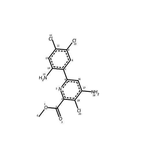 COC(=O)c1nc(-c2cc(Cl)c(Cl)cc2N)cc(N)c1Cl